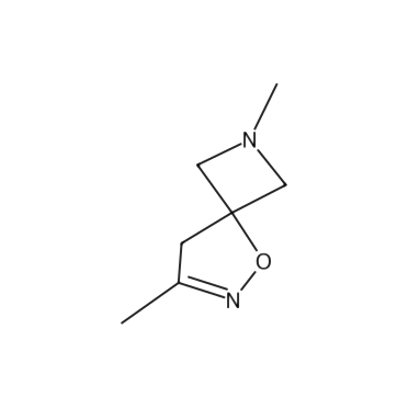 CC1=NOC2(C1)CN(C)C2